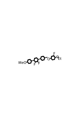 CCOc1ccc(OCc2ccc(-c3ccc(-c4ccc(OC)cc4)c(F)c3F)cc2)cc1F